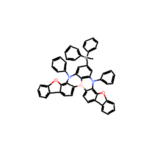 C[Si](c1ccccc1)(c1ccccc1)c1cc2c3c(c1)N(c1ccccc1)c1c(ccc4c1oc1ccccc14)B3c1ccc3c(oc4ccccc43)c1N2c1ccccc1